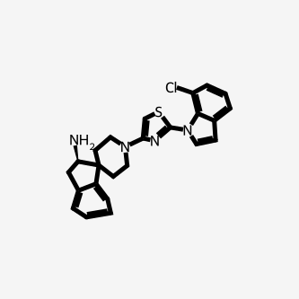 N[C@@H]1Cc2ccccc2C12CCN(c1csc(-n3ccc4cccc(Cl)c43)n1)CC2